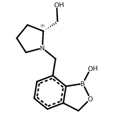 OC[C@H]1CCCN1Cc1cccc2c1B(O)OC2